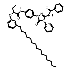 CCCCCCCCCCCCCCCc1cccc(OC(CC)C(=O)Nc2ccc(-n3nc(NC(=O)c4ccccc4)[c-](-[n+]4ccccc4)c3=O)cc2)c1